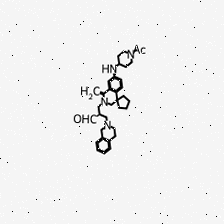 C=C1c2cc(NC3CCN(C(C)=O)CC3)ccc2C2(CCCC2)CN1C[C@H](C=O)CN1CCc2ccccc2C1